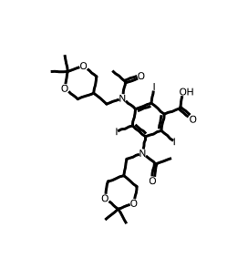 CC(=O)N(CC1COC(C)(C)OC1)c1c(I)c(C(=O)O)c(I)c(N(CC2COC(C)(C)OC2)C(C)=O)c1I